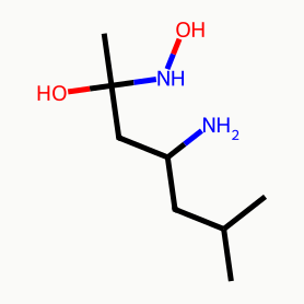 CC(C)CC(N)CC(C)(O)NO